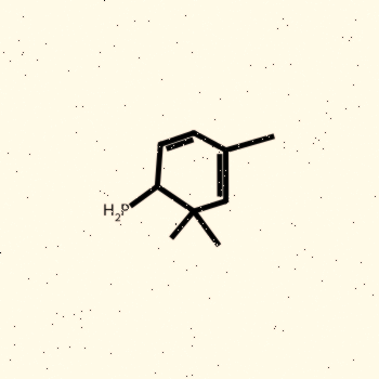 CC1=CC(C)(C)C(P)C=C1